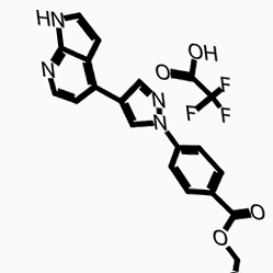 CCOC(=O)c1ccc(-n2cc(-c3ccnc4[nH]ccc34)cn2)cc1.O=C(O)C(F)(F)F